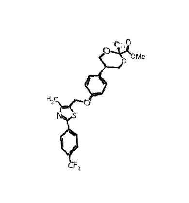 COC(=O)[C@]1(C)OC[C@@H](c2ccc(OCc3sc(-c4ccc(C(F)(F)F)cc4)nc3C)cc2)CO1